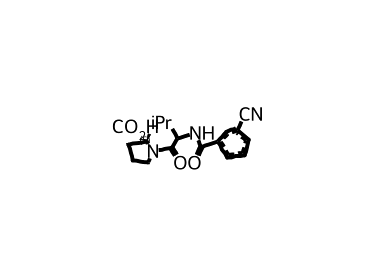 CC(C)C(NC(=O)c1cccc(C#N)c1)C(=O)N1CCC[C@H]1C(=O)O